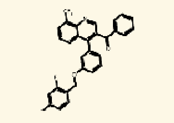 O=C(c1ccccc1)c1cnc2c(C(F)(F)F)cccc2c1-c1cccc(OCc2ccc(F)cc2F)c1